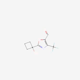 O=Cc1oc(C2(O)CCC2)nc1C(F)(F)F